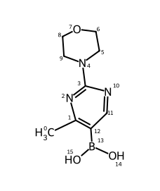 Cc1nc(N2CCOCC2)ncc1B(O)O